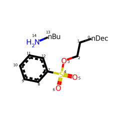 CCCCCCCCCCCCOS(=O)(=O)c1ccccc1.CCCCN